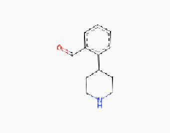 O=[C]c1ccccc1C1CCNCC1